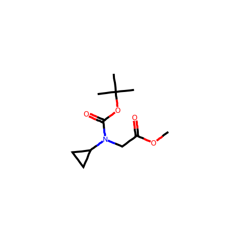 COC(=O)CN(C(=O)OC(C)(C)C)C1CC1